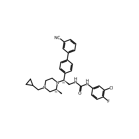 C[C@H]1CN(CC2CC2)CCN1[C@H](CNC(=O)Nc1ccc(F)c(Cl)c1)c1ccc(-c2cccc(C#N)c2)cc1